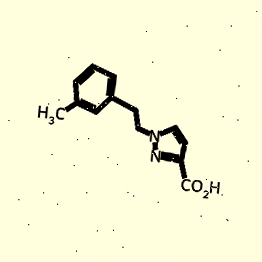 Cc1cccc(CCn2ccc(C(=O)O)n2)c1